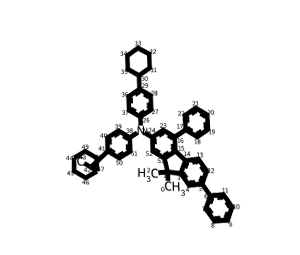 CC1(C)c2cc(-c3ccccc3)ccc2-c2c(-c3ccccc3)cc(N(c3ccc(C4CCCCC4)cc3)c3ccc(C4CC5CCC4CC5)cc3)cc21